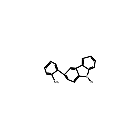 CCn1c2cc[c]cc2c2cc(-c3ccccc3C)ccc21